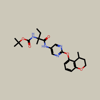 CCC(C)(NC(=O)OC(C)(C)C)C(=O)Nc1cnc(Oc2cccc3c2C(C)CCO3)nc1